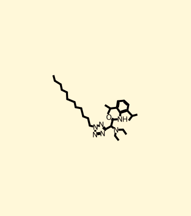 CCCCCCCCCCCCn1nnc(C(C(=O)Nc2c(C(C)C)cccc2C(C)C)N(CC)CC)n1